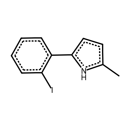 Cc1ccc(-c2ccccc2I)[nH]1